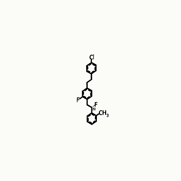 Cc1ccccc1[C@@H](F)Cc1ccc(CCc2ccc(Cl)cc2)cc1F